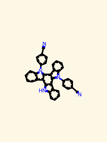 N#Cc1ccc(-n2c3ccccc3c3c4[nH]c5ccccc5c4c4c(c5ccccc5n4-c4ccc(C#N)cc4)c32)cc1